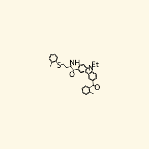 CCn1c2ccc(C(=O)C(=N)CCSc3ccccc3C)cc2c2cc(C(=O)c3ccccc3C)ccc21